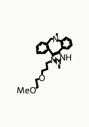 COCCOCCCN1C2=C(NN1C)c1ccccc1N(C)Cc1ccccc12